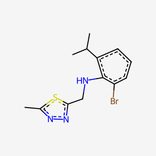 Cc1nnc(CNc2c(Br)cccc2C(C)C)s1